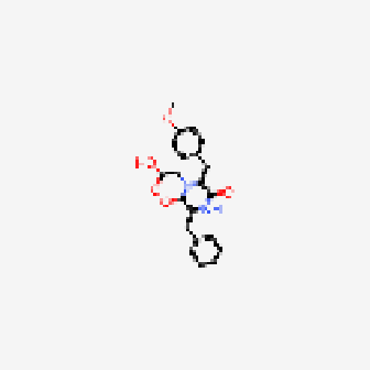 COc1ccc(/C=c2/c(=O)[nH]/c(=C\c3ccccc3)c(=O)n2CC(=O)O)cc1